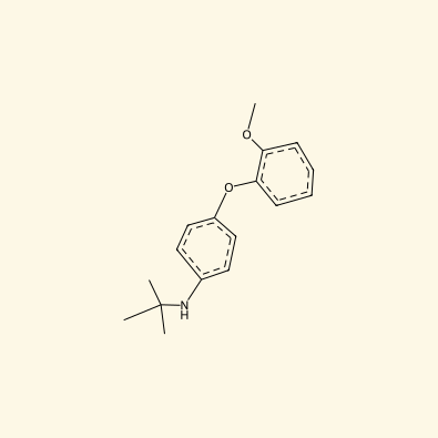 COc1ccccc1Oc1ccc(NC(C)(C)C)cc1